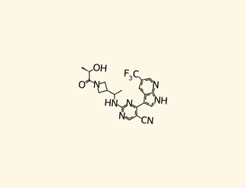 CC(Nc1ncc(C#N)c(-c2c[nH]c3ncc(C(F)(F)F)cc23)n1)C1CN(C(=O)[C@@H](C)O)C1